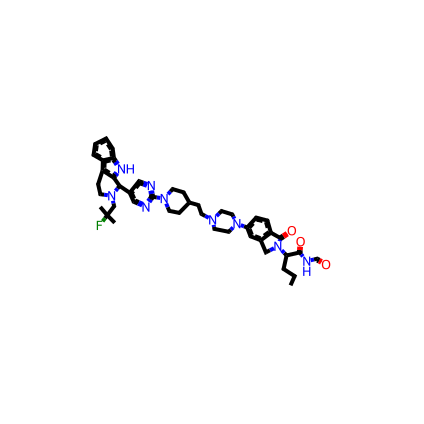 CCCC(C(=O)NC=O)N1Cc2cc(N3CCN(CCC4CCN(c5ncc(C6c7[nH]c8ccccc8c7CCN6CC(C)(C)F)cn5)CC4)CC3)ccc2C1=O